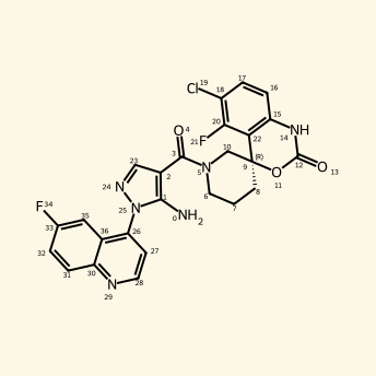 Nc1c(C(=O)N2CCC[C@@]3(C2)OC(=O)Nc2ccc(Cl)c(F)c23)cnn1-c1ccnc2ccc(F)cc12